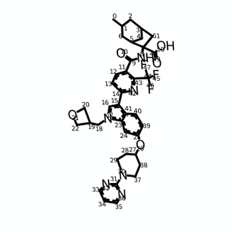 CC1CC2CC(C1)C(NC(=O)c1ccc(-c3cn(CC4COC4)c4cc(OC5CCN(c6ncccn6)CC5)ccc34)nc1C(F)(F)F)(C(=O)O)C2